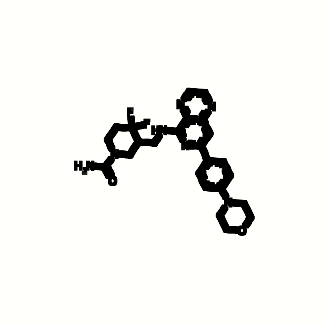 NC(=O)N1CCC(F)(F)C(CNc2nc(-c3ccc(N4CCOCC4)cc3)cc3nccnc23)C1